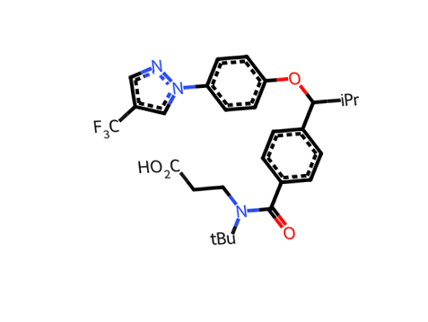 CC(C)C(Oc1ccc(-n2cc(C(F)(F)F)cn2)cc1)c1ccc(C(=O)N(CCC(=O)O)C(C)(C)C)cc1